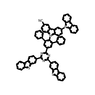 N#Cc1ccc2c(c1)c1cc(-n3c4ccccc4c4ccccc43)ccc1n2-c1c(-c2ccccc2)cc(-c2nc(-c3ccc4c(c3)sc3ccccc34)nc(-c3ccc4c(c3)sc3ccccc34)n2)cc1-c1ccccc1